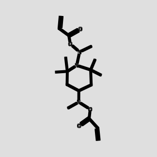 C=CC(=O)ON(C)C1CC(C)(C)N(N(C)OC(=O)C=C)C(C)(C)C1